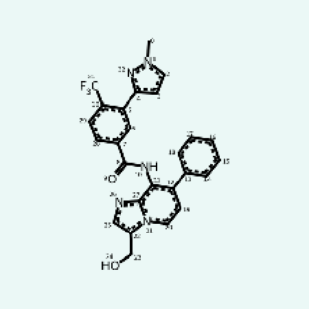 Cn1ccc(-c2cc(C(=O)Nc3c(-c4ccccc4)ccn4c(CO)cnc34)ccc2C(F)(F)F)n1